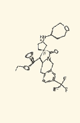 CCOC(=O)C1C2Cc3ccc(C(F)(F)F)cc3CN2C(=O)[C@]12CC[C@@H](NC1CCOCC1)C2